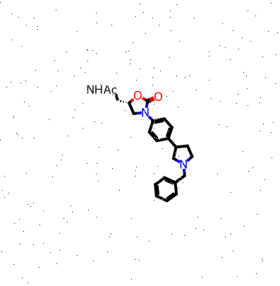 CC(=O)NC[C@H]1CN(c2ccc(C3CCN(Cc4ccccc4)C3)cc2)C(=O)O1